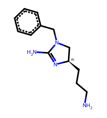 NCCC[C@@H]1CN(Cc2ccccc2)C(N)=N1